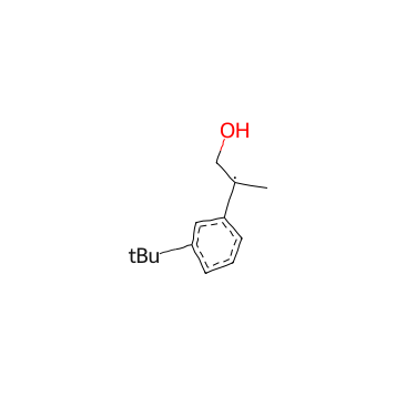 C[C](CO)c1cccc(C(C)(C)C)c1